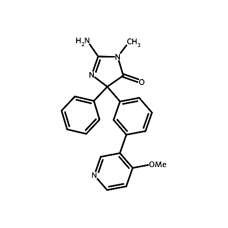 COc1ccncc1-c1cccc(C2(c3ccccc3)N=C(N)N(C)C2=O)c1